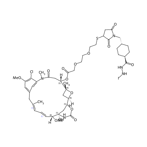 COc1cc2cc(c1Cl)N(C)C(=O)C[C@H](OC(=O)COCCOCCSC1CC(=O)N(C[C@H]3CC[C@H](C(=O)NNI)CC3)C1=O)[C@@]1(C)C[C@@H](O1)[C@@H]1C[C@@](O)(NC(=O)O1)[C@H](OC)/C=C/C=C(\C)C2